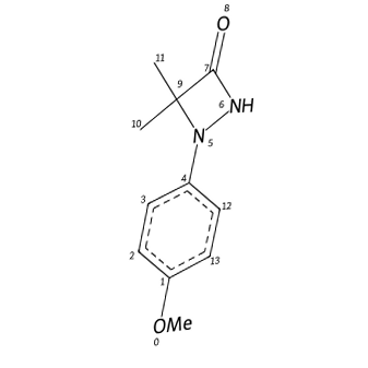 COc1ccc(N2NC(=O)C2(C)C)cc1